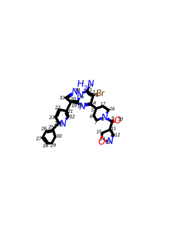 Nc1c(Br)c(C2CCN(C(=O)C3C=NOC3)CC2)nc2c(-c3ccc(C4=CC=CCC4)nc3)cnn12